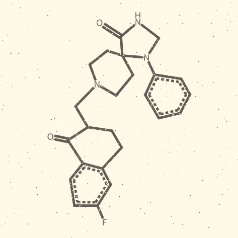 O=C1c2ccc(F)cc2CCC1CN1CCC2(CC1)C(=O)NCN2c1ccccc1